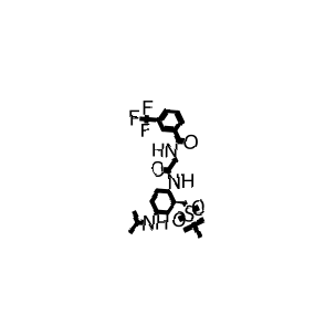 CC(C)N[C@@H]1CC[C@H](NC(=O)CNC(=O)c2cccc(C(F)(F)F)c2)[C@@H](CS(=O)(=O)C(C)(C)C)C1